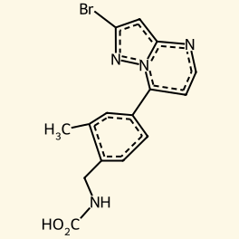 Cc1cc(-c2ccnc3cc(Br)nn23)ccc1CNC(=O)O